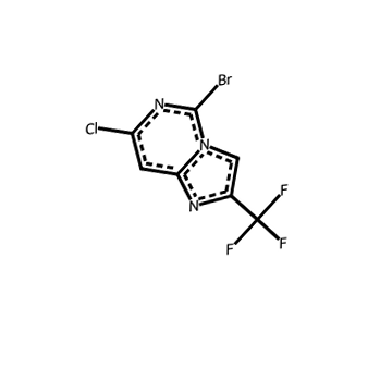 FC(F)(F)c1cn2c(Br)nc(Cl)cc2n1